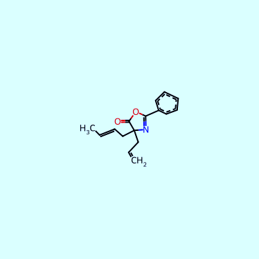 C=CCC1(C/C=C/C)N=C(c2ccccc2)OC1=O